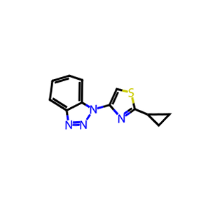 c1ccc2c(c1)nnn2-c1csc(C2CC2)n1